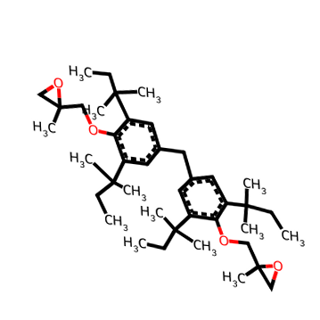 CCC(C)(C)c1cc(Cc2cc(C(C)(C)CC)c(OCC3(C)CO3)c(C(C)(C)CC)c2)cc(C(C)(C)CC)c1OCC1(C)CO1